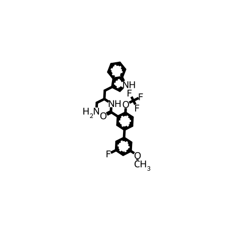 COc1cc(F)cc(-c2ccc(OC(F)(F)F)c(C(=O)NC(CN)Cc3c[nH]c4ccccc34)c2)c1